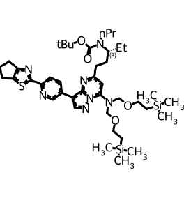 CCCN(C(=O)OC(C)(C)C)[C@H](CC)CCc1cc(N(COCC[Si](C)(C)C)COCC[Si](C)(C)C)n2ncc(-c3ccc(-c4nc5c(s4)CCC5)nc3)c2n1